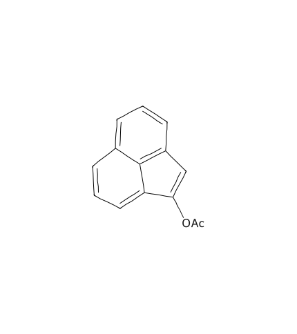 CC(=O)OC1=Cc2cccc3cccc1c23